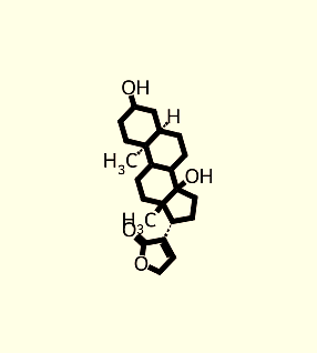 CC12CCC3C(CC[C@@H]4CC(O)CC[C@]34C)C1(O)CC[C@@H]2C1=CCOC1=O